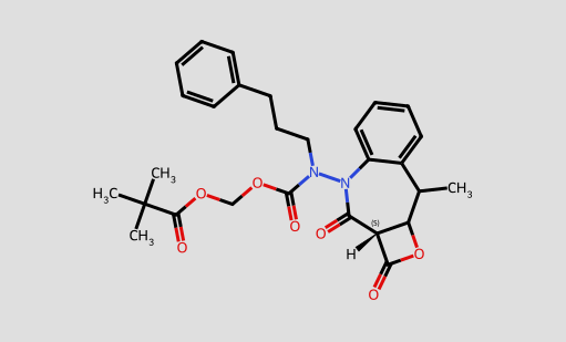 CC1c2ccccc2N(N(CCCc2ccccc2)C(=O)OCOC(=O)C(C)(C)C)C(=O)[C@H]2C(=O)OC12